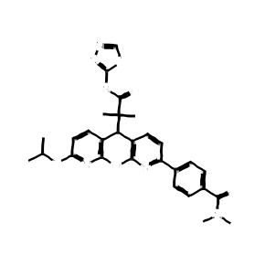 CC(C)Sc1ccc2c(n1)Oc1nc(-c3ccc(C(=O)N(C)C)cc3)ccc1C2C(C)(C)C(=O)Nc1nncs1